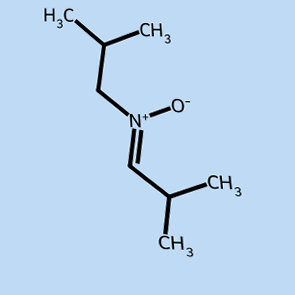 CC(C)/C=[N+](\[O-])CC(C)C